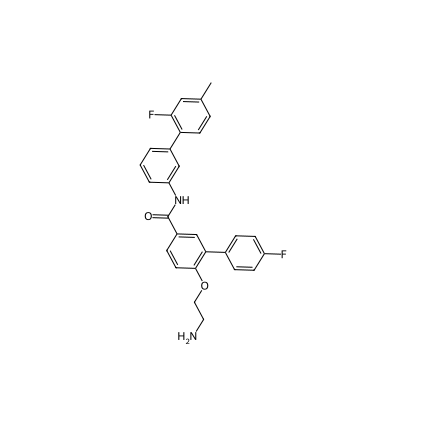 Cc1ccc(-c2cccc(NC(=O)c3ccc(OCCN)c(-c4ccc(F)cc4)c3)c2)c(F)c1